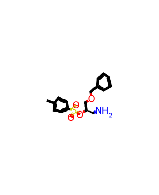 Cc1ccc(S(=O)(=O)O[C@H](CN)COCc2ccccc2)cc1